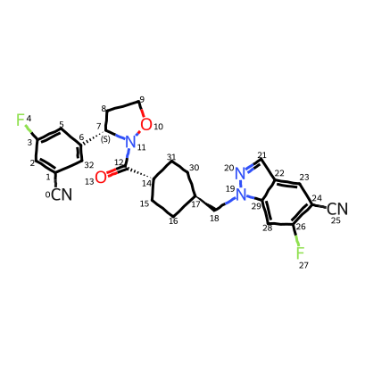 N#Cc1cc(F)cc([C@@H]2CCON2C(=O)[C@H]2CC[C@H](Cn3ncc4cc(C#N)c(F)cc43)CC2)c1